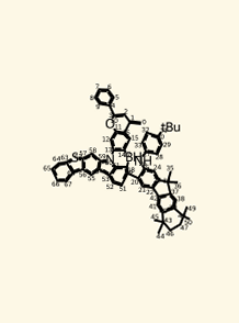 C=C1C=C(c2ccccc2)Oc2cc3c(cc21)Bc1c(-c2cc4c(cc2Nc2ccc(C(C)(C)C)cc2)C(C)(C)c2cc5c(cc2-4)C(C)(C)CCC5(C)C)ccc2c4cc5c(cc4n-3c12)sc1ccccc15